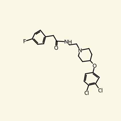 O=C(Cc1ccc(F)cc1)NCCN1CCC(Oc2ccc(Cl)c(Cl)c2)CC1